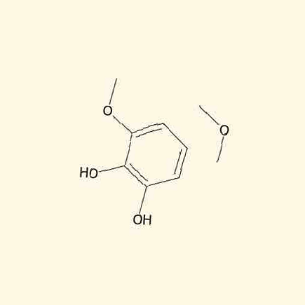 COC.COc1cccc(O)c1O